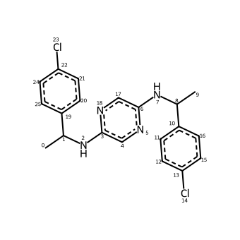 CC(Nc1cnc(NC(C)c2ccc(Cl)cc2)cn1)c1ccc(Cl)cc1